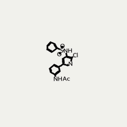 CC(=O)Nc1cccc(-c2cnc(Cl)c(NS(=O)(=O)c3ccccc3)c2)c1